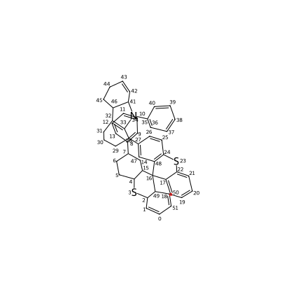 C1=CC2SC3CCC(c4ccccc4)CC3C3(c4ccccc4Sc4ccc(C5CCCC6=C5N(c5ccccc5)C5C=CCCC65)cc43)C2C=C1